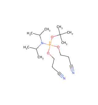 CC(C)N(C(C)C)[PH](OCCC#N)(OCCC#N)OC(C)(C)C